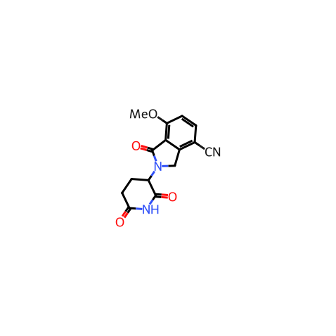 COc1ccc(C#N)c2c1C(=O)N(C1CCC(=O)NC1=O)C2